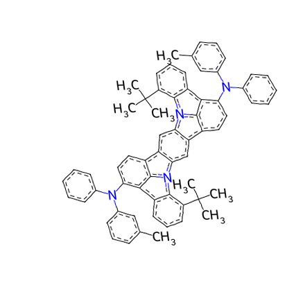 Cc1cccc(N(c2ccccc2)c2ccc3c4cc5c(cc4n4c6c(C(C)(C)C)cccc6c2c34)c2ccc(N(c3ccccc3)c3cccc(C)c3)c3c4cccc(C(C)(C)C)c4n5c23)c1